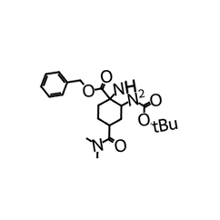 CN(C)C(=O)C1CCC(N)(C(=O)OCc2ccccc2)C(NC(=O)OC(C)(C)C)C1